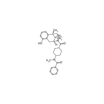 CN(C(=O)c1ccccc1)C1CCC(C(=O)N2CC[C@@]3(C)c4cccc(O)c4C[C@@H]2C3(C)C)CC1